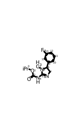 CC(C)OC(=O)NC1=NCC(c2cccc(F)c2)N1C